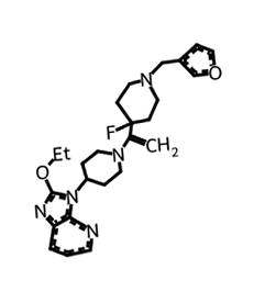 C=C(N1CCC(n2c(OCC)nc3cccnc32)CC1)C1(F)CCN(Cc2ccoc2)CC1